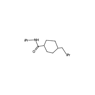 CC(C)CC1CCC(C(=O)NC(C)C)CC1